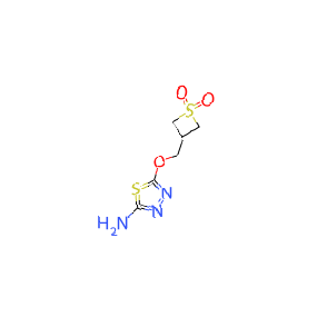 Nc1nnc(OCC2CS(=O)(=O)C2)s1